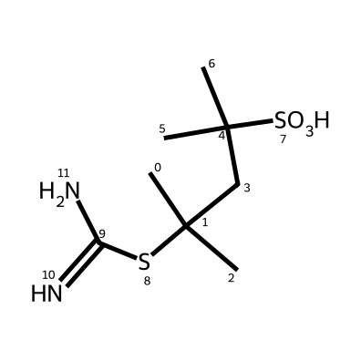 CC(C)(CC(C)(C)S(=O)(=O)O)SC(=N)N